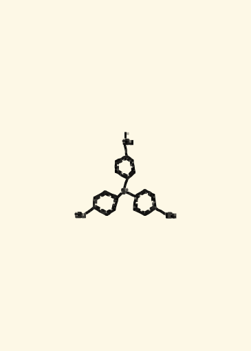 CC(C)(C)c1ccc([S+](c2ccc(C(C)(C)C)cc2)c2ccc(C(C)(C)C)cc2)cc1.[I-]